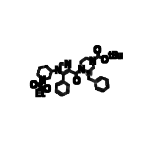 CCS(=O)(=O)N1CCCC(n2cnc(C(=O)N3CCN(C(=O)OC(C)(C)C)C[C@H]3Cc3ccccc3)c2-c2ccccc2)C1